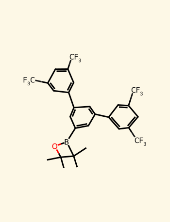 CC1(C)OB(c2cc(-c3cc(C(F)(F)F)cc(C(F)(F)F)c3)cc(-c3cc(C(F)(F)F)cc(C(F)(F)F)c3)c2)C1(C)C